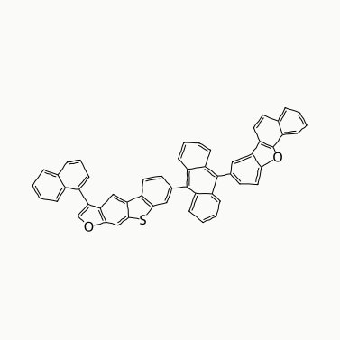 c1ccc2c(-c3coc4cc5sc6cc(-c7c8ccccc8c(-c8ccc9oc%10c%11ccccc%11ccc%10c9c8)c8ccccc78)ccc6c5cc34)cccc2c1